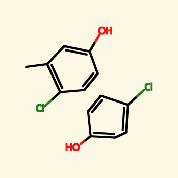 Cc1cc(O)ccc1Cl.Oc1ccc(Cl)cc1